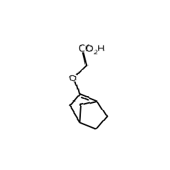 O=C(O)COC1=C2CCC(C2)C1